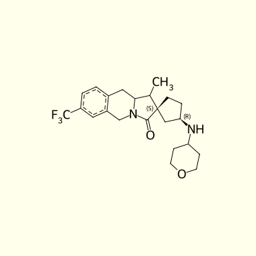 CC1C2Cc3ccc(C(F)(F)F)cc3CN2C(=O)[C@]12CC[C@@H](NC1CCOCC1)C2